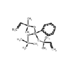 C=C[Si](C)(C)O[Si](O[Si](C)(C)C)(O[Si](C)(C)C=C)c1ccccc1